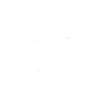 CCCCC(CO)(CCCO)C(=O)O